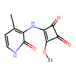 CCOc1c(Nc2c(C)cc[nH]c2=O)c(=O)c1=O